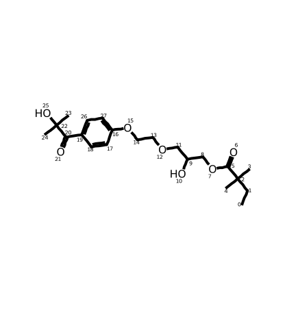 CCC(C)(C)C(=O)OCC(O)COCCOc1ccc(C(=O)C(C)(C)O)cc1